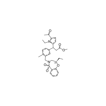 CC[C@@H]1CN(Cc2cc(C(CC(=O)OC)c3ccc(C(C)=O)n3CC)ccc2C)S(=O)(=O)c2ccccc2O1